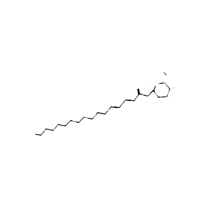 CCCCCCCCCCCCCCCCC(=O)C[C@]1(O)O[C@H](CO)[C@@H](O)[C@H](O)[C@@H]1O